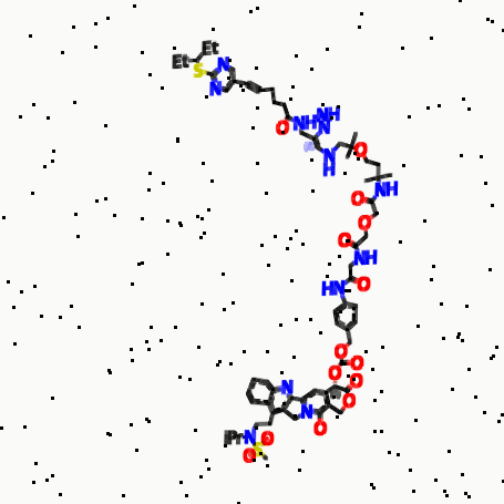 CCC(CC)Sc1ncc(C#CCCCC(=O)NC/C(=C/NCC(C)(C)OCCC(C)(C)NC(=O)COCC(=O)NCC(=O)Nc2ccc(COC(=O)O[C@@H]3C(=O)OCc4c3cc3n(c4=O)Cc4c-3nc3ccccc3c4CCN(C(C)C)S(C)(=O)=O)cc2)N=N)cn1